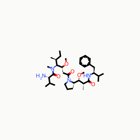 CC[C@H](C)[C@@H]([C@@H](CC(=O)N1CCC[C@H]1[C@H](OC)[C@@H](C)C(=O)N[C@@H](Cc1ccccc1)C(C)C)OC)N(C)C(=O)[C@@H](N)C(C)C